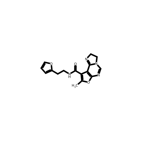 Cc1oc2c(c1C(=O)NCCc1ccco1)C1=NCCN1C=N2